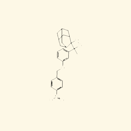 CC1(c2cccc(OCc3ccc([N+](=O)[O-])cc3)c2)OOC12C1CC3CC(C1)CC2C3